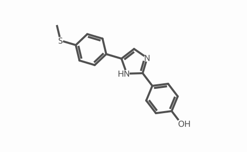 CSc1ccc(-c2cnc(-c3ccc(O)cc3)[nH]2)cc1